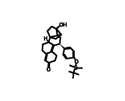 CC(C)(C)[Si](C)(C)Oc1ccc([C@H]2C[C@]3(C)C4(O)CCC3(CC4)[C@@H]3CCC4=CC(=O)CCC4=C32)cc1